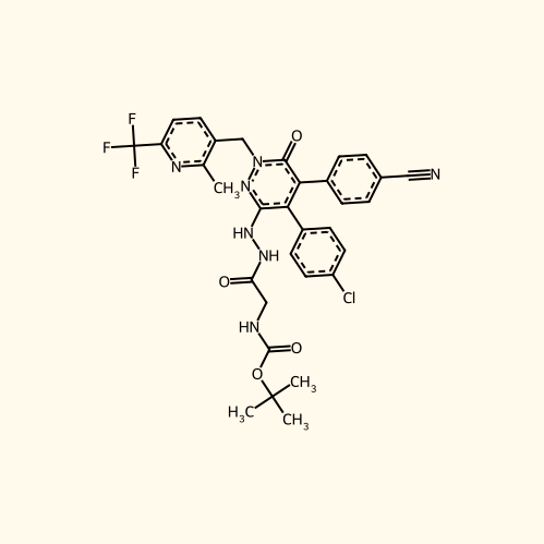 Cc1nc(C(F)(F)F)ccc1Cn1nc(NNC(=O)CNC(=O)OC(C)(C)C)c(-c2ccc(Cl)cc2)c(-c2ccc(C#N)cc2)c1=O